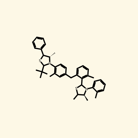 Cc1ccccc1N1C(c2c(C)cccc2Cc2ccc(N3C(C(C)(C)C)SC(c4ccccc4)[C@@H]3C)c(C)c2)SC(C)[C@@H]1C